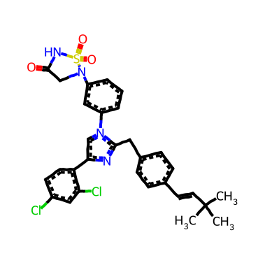 CC(C)(C)C=Cc1ccc(Cc2nc(-c3ccc(Cl)cc3Cl)cn2-c2cccc(N3CC(=O)NS3(=O)=O)c2)cc1